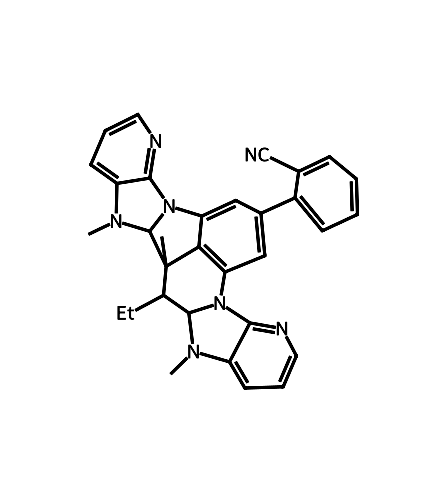 CCC1C2N(C)c3cccnc3N2c2cc(-c3ccccc3C#N)cc3c2C1(C)C1N(C)c2cccnc2N31